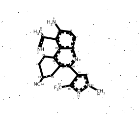 CC(=N)c1c(N)ccc2nc(-c3cn(C)nc3C(F)(F)F)c3c(c12)CCC(C#N)C3